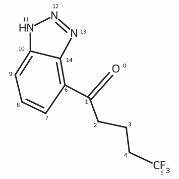 O=C(CCCC(F)(F)F)c1cccc2[nH]nnc12